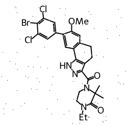 C[CH]N1CCN(C(=O)c2n[nH]c3c2CCc2cc(OC)c(-c4cc(Cl)c(Br)c(Cl)c4)cc2-3)C(C)(C)C1=O